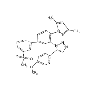 Cc1cc(C)n(-c2ccc(-c3cccc(S(C)(=O)=O)c3)cc2-n2nncc2-c2ccc(OC(F)(F)F)cc2)n1